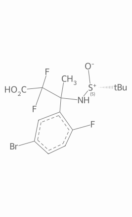 CC(C)(C)[S@@+]([O-])NC(C)(c1cc(Br)ccc1F)C(F)(F)C(=O)O